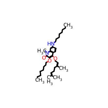 CCCCCCCCNc1ccc2c(OCC=C(C)CCC=C(C)C)c(OCCCCCCCC)c(=O)n(C)c2c1